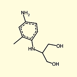 Cc1cc(N)ccc1NC(CO)CO